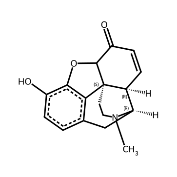 CN1CC[C@]23c4c5ccc(O)c4OC2C(=O)C=C[C@H]3[C@H]1C5